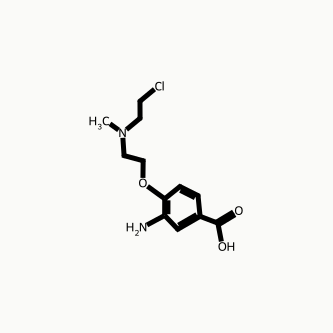 CN(CCCl)CCOc1ccc(C(=O)O)cc1N